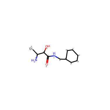 CCC(N)C(O)C(=O)NCC1CCCCC1